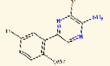 COc1ccc(C(C)C)cc1-c1cnc(N)c(Br)n1